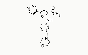 CC(=O)c1cc(-c2ccncc2)sc1Nc1cccc(CN2CCOCC2)n1